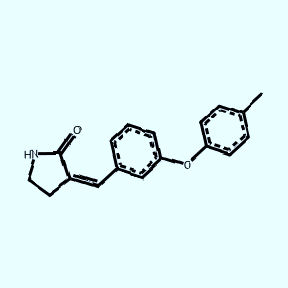 Cc1ccc(Oc2cccc(C=C3CCNC3=O)c2)cc1